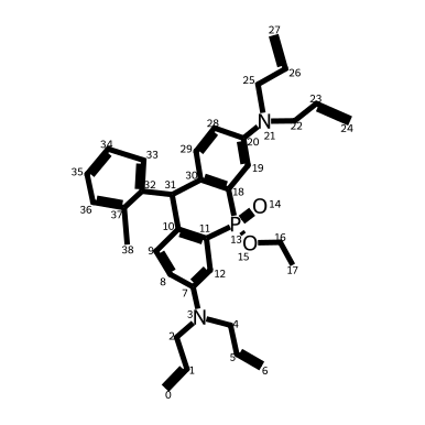 C=CCN(CC=C)c1ccc2c(c1)P(=O)(OCC)c1cc(N(CC=C)CC=C)ccc1C2c1ccccc1C